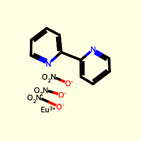 O=[N+]([O-])[O-].O=[N+]([O-])[O-].O=[N+]([O-])[O-].[Eu+3].c1ccc(-c2ccccn2)nc1